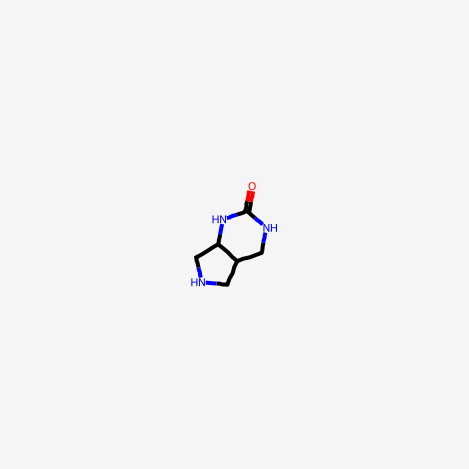 O=C1NCC2CNC[C]2N1